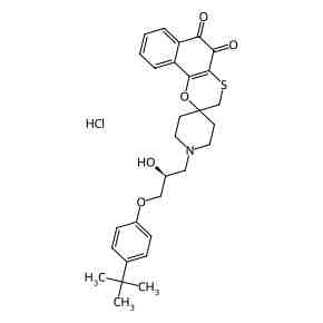 CC(C)(C)c1ccc(OC[C@@H](O)CN2CCC3(CC2)CSC2=C(O3)c3ccccc3C(=O)C2=O)cc1.Cl